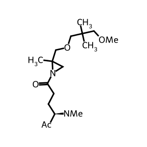 CN[C@H](CCC(=O)N1CC1(C)COCC(C)(C)COC)C(C)=O